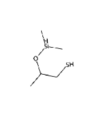 CC(CS)O[SiH](C)C